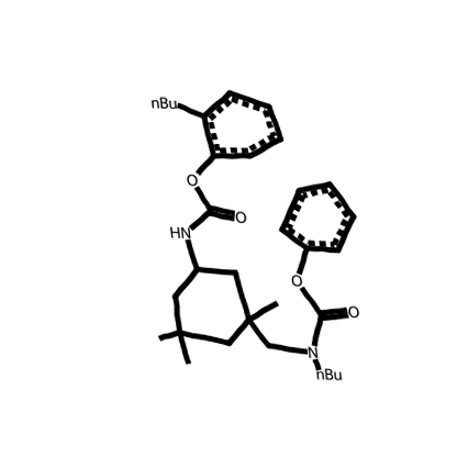 CCCCc1ccccc1OC(=O)NC1CC(C)(C)CC(C)(CN(CCCC)C(=O)Oc2ccccc2)C1